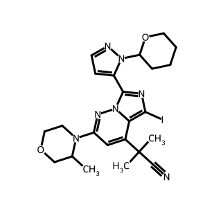 CC1COCCN1c1cc(C(C)(C)C#N)c2c(I)nc(-c3ccnn3C3CCCCO3)n2n1